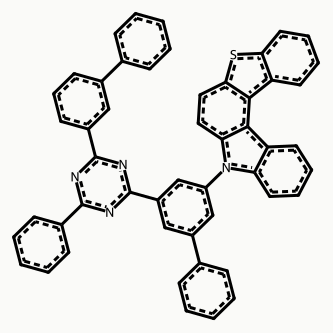 c1ccc(-c2cccc(-c3nc(-c4ccccc4)nc(-c4cc(-c5ccccc5)cc(-n5c6ccccc6c6c7c(ccc65)sc5ccccc57)c4)n3)c2)cc1